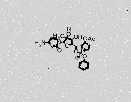 CC(=O)OC1CCN(P(=O)(OC[C@H]2O[C@@H](n3ccc(N)nc3=O)[C@](C)(O)[C@@H]2O)Oc2ccccc2)C1